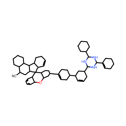 N#CC1CC2C(C3CCCCC13)C1CCC=CC1C21C2C=CC=CC2OC2CC(C3=CCC(C4C=CCC(C5NC(C6=CCCCC6)NC(C6CCCCC6)N5)C4)CC3)CCC21